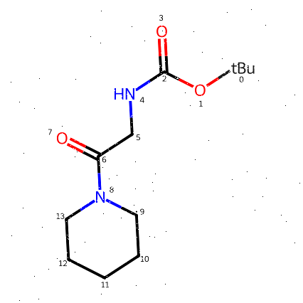 CC(C)(C)OC(=O)NCC(=O)N1[CH]CCCC1